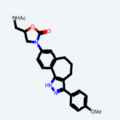 COc1ccc(-c2n[nH]c3c2CCCc2cc(N4CC(CNC(C)=O)OC4=O)ccc2-3)cc1